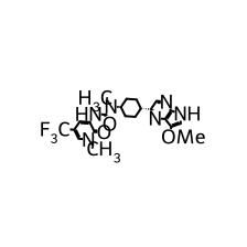 COc1c[nH]c2ncc([C@H]3CC[C@H](N(C)C(=O)Nc4cc(C(F)(F)F)cn(C)c4=O)CC3)nc12